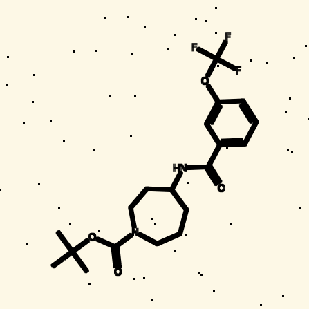 CC(C)(C)OC(=O)N1CCCC(NC(=O)c2cccc(OC(F)(F)F)c2)CC1